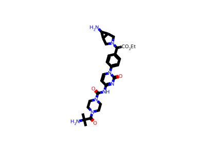 CCOC(=O)C(c1ccc(-n2ccc(NC(=O)N3CCN(C(=O)C(C)(C)N)CC3)nc2=O)cc1)N1CC2C(N)C2C1